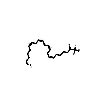 CCCCC/C=C\C/C=C\C/C=C\C/C=C\CCCCC(=O)C(F)(F)F